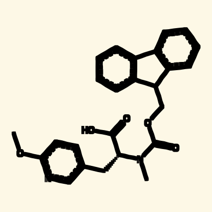 COc1ccc(C[C@H](C(=O)O)N(C)C(=O)OCC2c3ccccc3-c3ccccc32)cn1